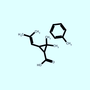 CC(C)=CC1C(C(=O)O)C1(C)C.Cc1ccccc1